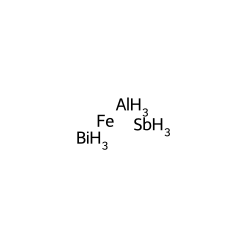 [AlH3].[BiH3].[Fe].[SbH3]